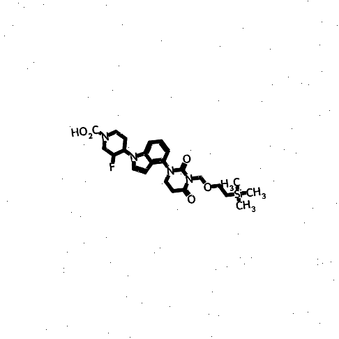 C[Si](C)(C)CCOCN1C(=O)CCN(c2cccc3c2ccn3C2CCN(C(=O)O)CC2F)C1=O